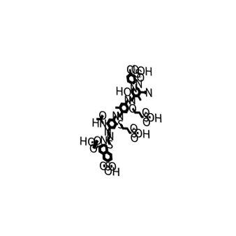 CC(=O)Nc1cc(N=Nc2cc(OCCCS(=O)(=O)O)c(N=Nc3c(C)c(C#N)c4nc5c(S(=O)(=O)O)c(Cl)ccc5n4c3O)cc2C)c(SCCCS(=O)(=O)O)cc1N=Nc1nc2c(S(=O)(=O)O)cc3cc(S(=O)(=O)O)ccc3c2s1